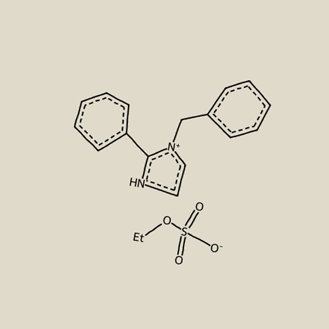 CCOS(=O)(=O)[O-].c1ccc(C[n+]2cc[nH]c2-c2ccccc2)cc1